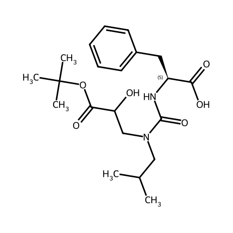 CC(C)CN(CC(O)C(=O)OC(C)(C)C)C(=O)N[C@@H](Cc1ccccc1)C(=O)O